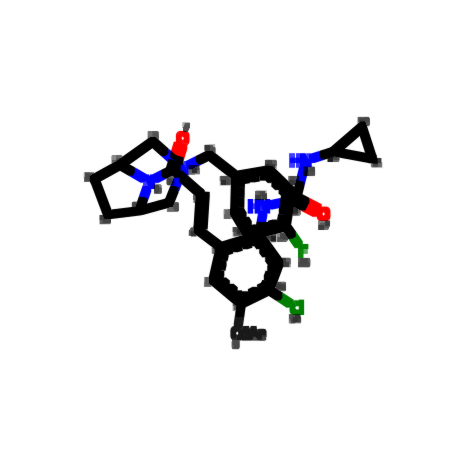 COc1cc(/C=C/C(=O)N2C3CCC2CN(Cc2ccc(F)cc2)C3)c(NC(=O)NC2CC2)cc1Cl